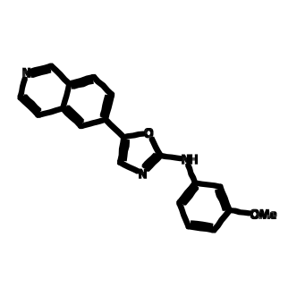 COc1cccc(Nc2ncc(-c3ccc4cnccc4c3)o2)c1